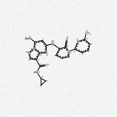 CNc1cc(Nc2cccn(-c3cccc(C)n3)c2=O)nc2c(C(=O)NC3CC3)cnn12